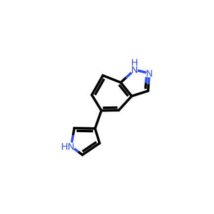 c1cc(-c2ccc3[nH]ncc3c2)c[nH]1